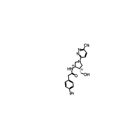 CC(C)c1ccc(CC(=O)N[C@H]2CN(c3ccc(C#N)nn3)C[C@@H]2CO)cc1